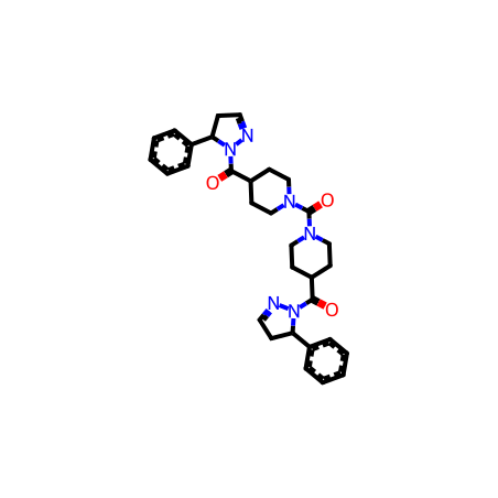 O=C(N1CCC(C(=O)N2N=CCC2c2ccccc2)CC1)N1CCC(C(=O)N2N=CCC2c2ccccc2)CC1